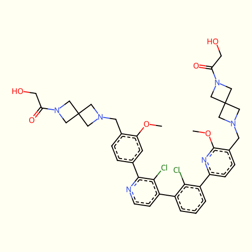 COc1cc(-c2nccc(-c3cccc(-c4ccc(CN5CC6(C5)CN(C(=O)CO)C6)c(OC)n4)c3Cl)c2Cl)ccc1CN1CC2(C1)CN(C(=O)CO)C2